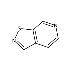 c1cc2cnsc2cn1